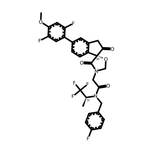 COc1cc(F)c(-c2ccc3c(c2)CC(=O)[C@]32OCN(CC(=O)N(Cc3ccc(F)cc3)[C@@H](C)C(F)(F)F)C2=O)cc1F